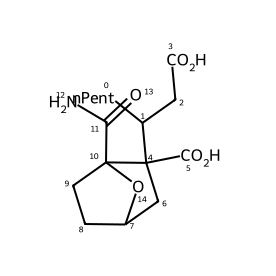 CCCCCC(CC(=O)O)C1(C(=O)O)CC2CCC1(C(N)=O)O2